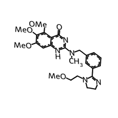 COCCN1CCN=C1c1cccc(CN(C)c2nc(=O)c3c(OC)c(OC)c(OC)cc3[nH]2)c1